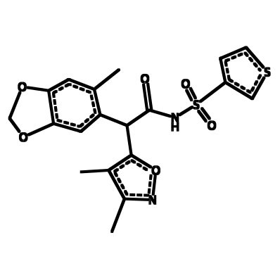 Cc1cc2c(cc1C(C(=O)NS(=O)(=O)c1ccsc1)c1onc(C)c1C)OCO2